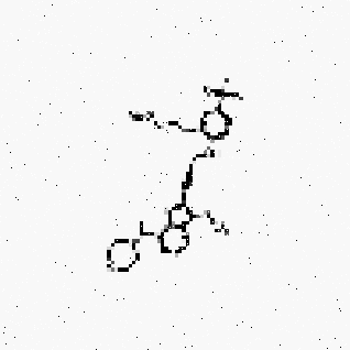 COCCOc1cc(S(C)(=O)=O)ccc1NCC#Cc1sc2c(NC3CCOCC3)cccc2c1CC(F)(F)F